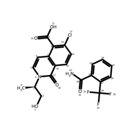 C[C@H](CO)n1ccc2c(C(=O)O)c(Cl)ccc2c1=O.NC(=O)c1ccccc1C(F)(F)F